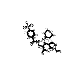 CCn1ncc2c(NC3CCOCC3)c(CNC(=O)c3ccc(S(C)(=O)=O)cc3)c(C)nc21